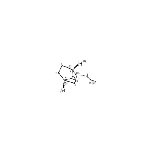 BrC[C@@H]1C[C@@H]2CC[C@H]1O2